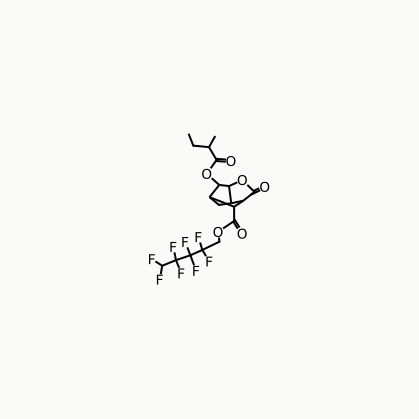 CCC(C)C(=O)OC1C2CC3C1OC(=O)C3C2C(=O)OCC(F)(F)C(F)(F)C(F)(F)C(F)F